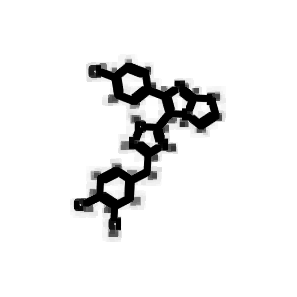 Clc1ccc(-c2nc3sccn3c2-c2nc(Cc3ccc(Cl)c(Cl)c3)no2)cc1